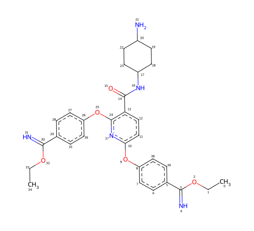 CCOC(=N)c1ccc(Oc2ccc(C(=O)NC3CCC(N)CC3)c(Oc3ccc(C(=N)OCC)cc3)n2)cc1